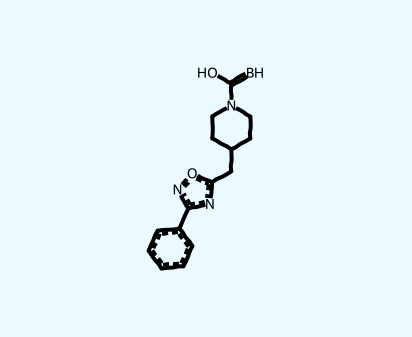 B=C(O)N1CCC(Cc2nc(-c3ccccc3)no2)CC1